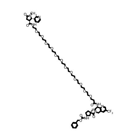 CC(C)[C@]1(C(=O)N2Cc3cc(C(F)(F)F)cnc3[C@H](NC(=O)CCOCCOCCOCCOCCOCCOCCOCCOCCOCCOCCOCCOCCNC(=O)[C@H]3CC(=O)N(C)[C@@H]3c3cccnc3)C2)CC[C@@H](NC(=O)OCc2ccccc2)C1